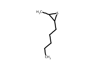 CCCCC[C]1SC1C